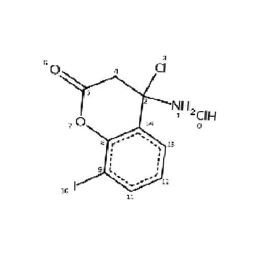 Cl.NC1(Cl)CC(=O)Oc2c(I)cccc21